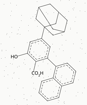 O=C(O)c1c(O)cc(C23CC4CC(CC(C4)C2)C3)cc1-c1cccc2ccccc12